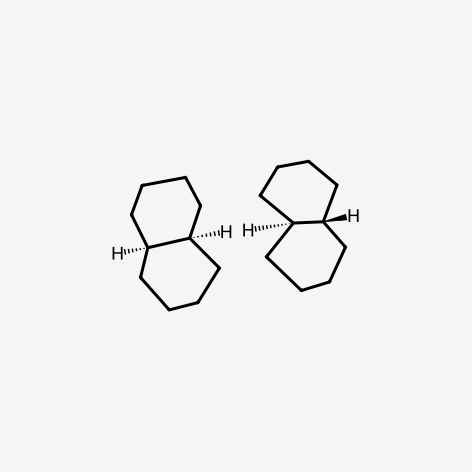 C1CC[C@H]2CCCC[C@@H]2C1.C1CC[C@H]2CCCC[C@H]2C1